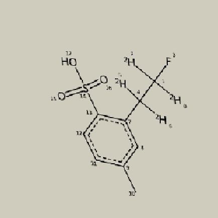 [2H]C([2H])(F)C([2H])([2H])c1cc(C)ccc1S(=O)(=O)O